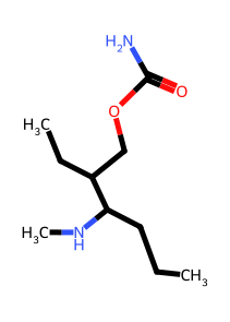 CCCC(NC)C(CC)COC(N)=O